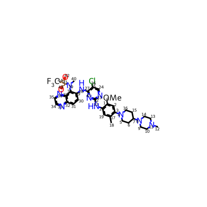 COc1cc(N2CCC(N3CCN(C)CC3)CC2)c(C)cc1Nc1ncc(Cl)c(Nc2ccc3nccnc3c2N(C)S(=O)(=O)C(F)(F)F)n1